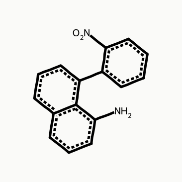 Nc1cccc2cccc(-c3ccccc3[N+](=O)[O-])c12